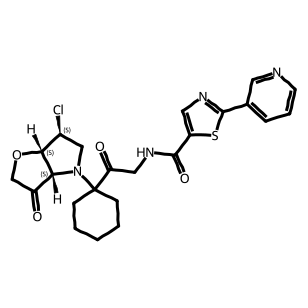 O=C(NCC(=O)C1(N2C[C@H](Cl)[C@H]3OCC(=O)[C@H]32)CCCCC1)c1cnc(-c2cccnc2)s1